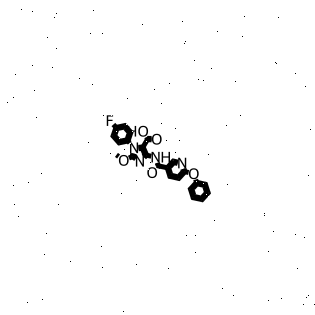 COc1nc(NC(=O)c2ccc(Oc3ccccc3)nc2)c(C(=O)O)n1-c1ccc(F)cc1